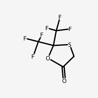 O=C1CSC(C(F)(F)F)(C(F)(F)F)O1